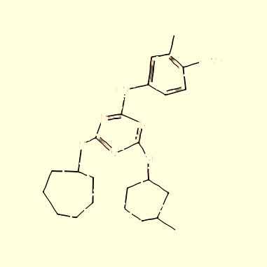 COc1ccc(Nc2nc(NC3CCCCCC3)nc(NC3CCCC(C)C3)n2)cc1F